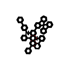 C1=CC(c2ccccc2N(c2ccc(-c3ccccc3)cc2)c2cc(-c3ccc4c(c3)C3(c5ccccc5-c5ccccc53)c3ccccc3-4)cc(N(c3ccc(-c4ccccc4)cc3)c3ccccc3-c3ccccc3)c2)=CCC1